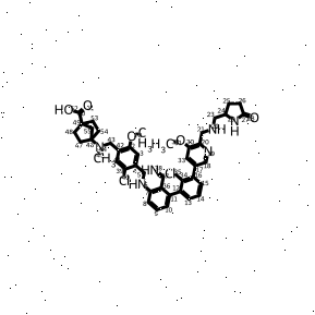 COc1cc(CNc2cccc(-c3cccc(-c4cnc(CNCC5CCC(=O)N5)c(OC)c4)c3Cl)c2C=N)c(Cl)cc1CN(C)C12CCC(C(=O)O)(CC1)C2